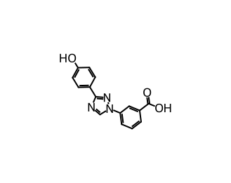 O=C(O)c1cccc(-n2cnc(-c3ccc(O)cc3)n2)c1